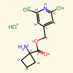 Cl.NC1(C(=O)OCc2cc(Cl)nc(Cl)c2)CCC1